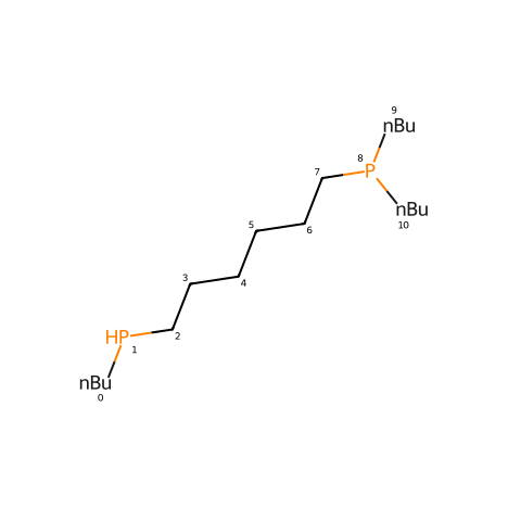 CCCCPCCCCCCP(CCCC)CCCC